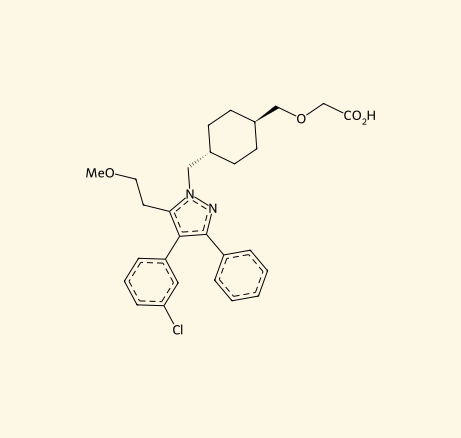 COCCc1c(-c2cccc(Cl)c2)c(-c2ccccc2)nn1C[C@H]1CC[C@H](COCC(=O)O)CC1